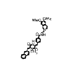 COc1cc2c(cc1OC)CN(CCNC(=O)c1ccc(/C=c3\[nH]c(=O)/c(=C/c4ccc5ccccc5c4)n(C)c3=O)cc1)CC2